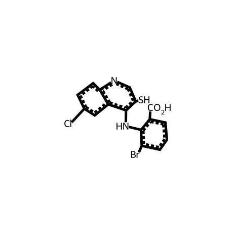 O=C(O)c1cccc(Br)c1Nc1c(S)cnc2ccc(Cl)cc12